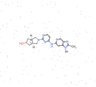 Cc1nc2cnc(Nc3ccnc(N4C[C@H]5CC(O)C[C@H]5C4)n3)cc2n1C(C)C